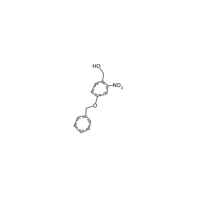 O=[N+]([O-])c1cc(OCc2ccccc2)ccc1CO